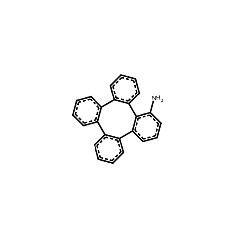 Nc1cccc2c1-c1ccccc1-c1ccccc1-c1ccccc1-2